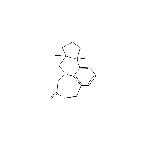 O=C1CN2C[C@@H]3CCC[C@@H]3c3cccc(c32)CN1